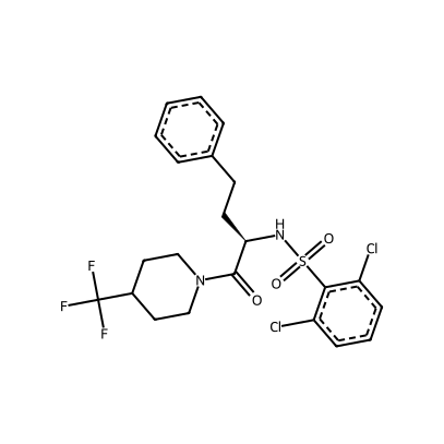 O=C([C@@H](CCc1ccccc1)NS(=O)(=O)c1c(Cl)cccc1Cl)N1CCC(C(F)(F)F)CC1